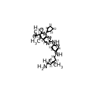 CC(=O)c1c(C)c2cnc(Nc3ccc(NCCC(C)(C)CCN)cn3)nc2n(C2CCCC2)c1=O